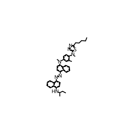 CCCCCc1nnc(N(C)c2ccc(N(C)c3ccc(/N=N/c4ccc(NC(C)CC)c5ccccc45)c4ccccc34)cc2C)s1